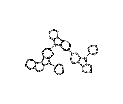 c1ccc(-n2c3ccccc3c3ccc(-c4ccc5c6ccccc6n(-c6ccc7c8c9ccccc9ccc8n(-c8ccccc8)c7c6)c5c4)cc32)cc1